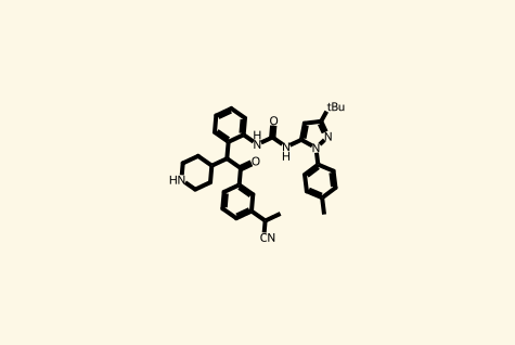 Cc1ccc(-n2nc(C(C)(C)C)cc2NC(=O)Nc2ccccc2C(C(=O)c2cccc(C(C)C#N)c2)C2CCNCC2)cc1